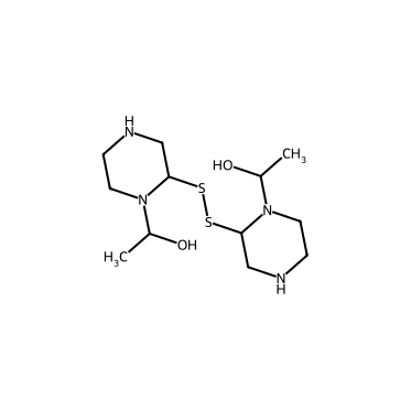 CC(O)N1CCNCC1SSC1CNCCN1C(C)O